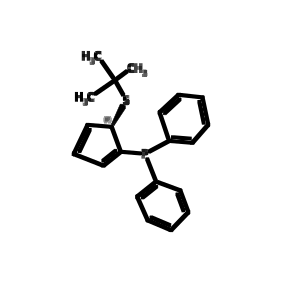 CC(C)(C)S[C@@H]1C=CC=C1P(c1ccccc1)c1ccccc1